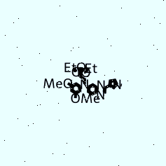 CCOP(=O)(CCN(c1cc(OC)cc(OC)c1)c1ccc2ncc(-c3ccn(C)c3)nc2c1)OCC